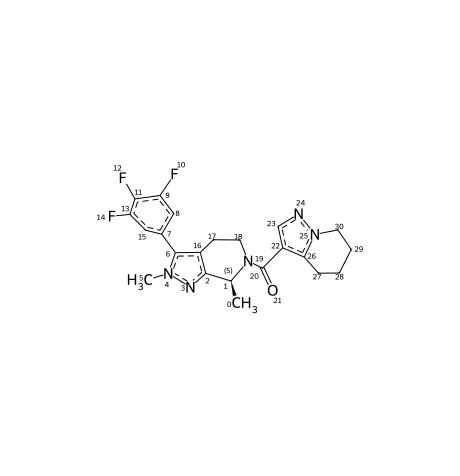 C[C@H]1c2nn(C)c(-c3cc(F)c(F)c(F)c3)c2CCN1C(=O)c1cnn2c1CCCC2